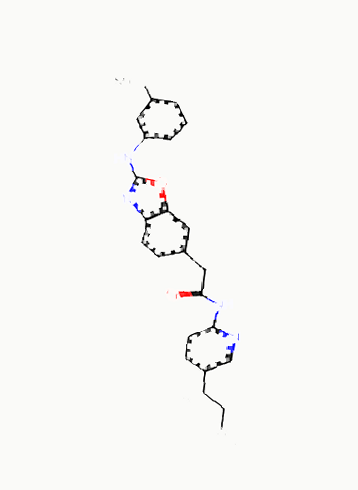 COc1cccc(Nc2nc3ccc(CC(=O)Nc4ccc([C@@H](C)CC(=O)O)cn4)cc3o2)c1